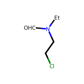 CCN(C=O)CCCl